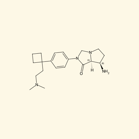 CN(C)CCC1(c2ccc(N3CN4CC[C@@H](N)[C@H]4C3=O)cc2)CCC1